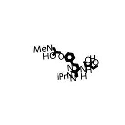 CNCC(O)COc1cccc(-c2cc(N[C@H]3CO[C@@H]4OCC[C@@H]43)c3cnn(C(C)C)c3n2)c1